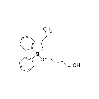 CCCC[Si](OCCCCO)(c1ccccc1)c1ccccc1